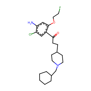 Nc1cc(OCCF)c(C(=O)CCC2CCN(CC3CCCCC3)CC2)cc1Cl